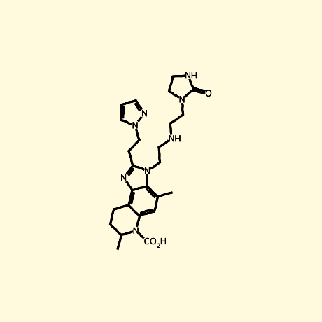 Cc1cc2c(c3nc(CCn4cccn4)n(CCNCCN4CCNC4=O)c13)CCC(C)N2C(=O)O